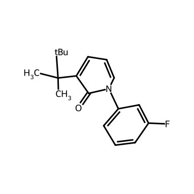 CC(C)(C)C(C)(C)c1cccn(-c2cccc(F)c2)c1=O